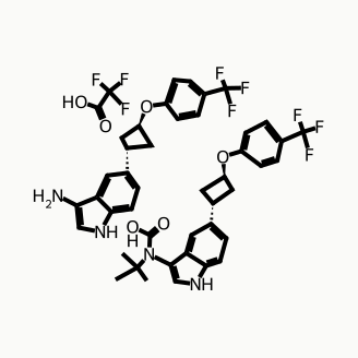 CC(C)(C)N(C(=O)O)c1c[nH]c2ccc([C@H]3C[C@H](Oc4ccc(C(F)(F)F)cc4)C3)cc12.Nc1c[nH]c2ccc([C@H]3C[C@H](Oc4ccc(C(F)(F)F)cc4)C3)cc12.O=C(O)C(F)(F)F